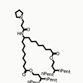 CCCCCC(CCCCC)CCOC(=O)CCCCCCCC(CCCCCCCC(=O)OCCC(CCCCC)CCCCC)NC(=O)CCN1CCCC1